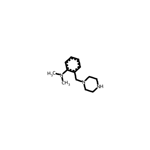 CN(C)c1ccccc1CN1CCNCC1